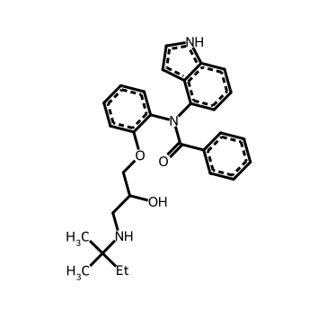 CCC(C)(C)NCC(O)COc1ccccc1N(C(=O)c1ccccc1)c1cccc2[nH]ccc12